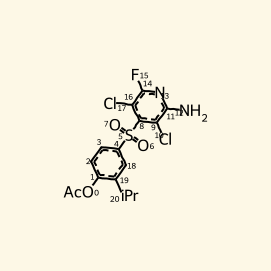 CC(=O)Oc1ccc(S(=O)(=O)c2c(Cl)c(N)nc(F)c2Cl)cc1C(C)C